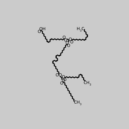 CCCCC/C=C\C/C=C\CCCCCCCC(=O)OC(COC(=O)CCCCCCC/C=C\C/C=C\C/C=C\C/C=C\CCCCCCCC(=O)OCC(COC(=O)CCCCCCCCCCCCCCC)OC(=O)CCCCCCC/C=C\C/C=C\CCCCC)COC(=O)CCCCCCC/C=C\C/C=C\CCCCCCCC(=O)O